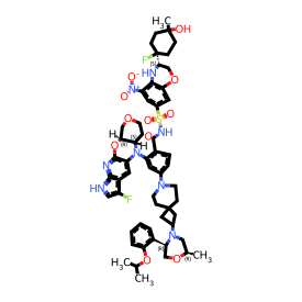 CC(C)Oc1ccccc1[C@@H]1CO[C@H](C)CN1C1CC2(CCN(c3ccc(C(=O)NS(=O)(=O)c4cc5c(c([N+](=O)[O-])c4)N[C@H](C4(F)CCC(C)(O)CC4)CO5)c(N4c5cc6c(F)c[nH]c6nc5O[C@H]5COCC[C@@H]54)c3)CC2)C1